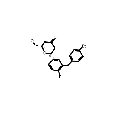 CCc1ccc(Cc2cc([C@H]3CC(=O)C[C@@H](CO)O3)ccc2F)cc1